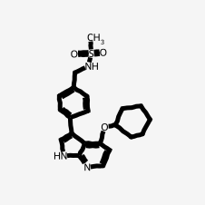 CS(=O)(=O)NCc1ccc(-c2c[nH]c3nccc(OC4CCCCC4)c23)cc1